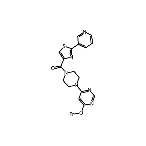 CC(C)Oc1cc(N2CCN(C(=O)c3csc(-c4cccnc4)n3)CC2)ncn1